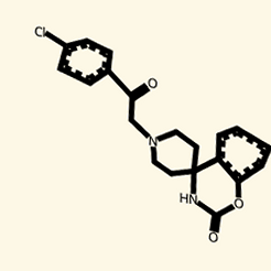 O=C1NC2(CCN(CC(=O)c3ccc(Cl)cc3)CC2)c2ccccc2O1